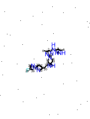 Cc1cc(Nc2cc(C)[nH]n2)nc(N2CCC(C)(NCCc3ccc(-n4cc(F)cn4)nc3)CC2)n1